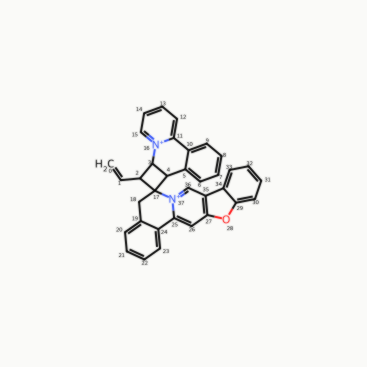 C=CC1C2C(c3ccccc3-c3cccc[n+]32)C12Cc1ccccc1-c1cc3oc4ccccc4c3c[n+]12